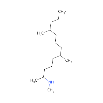 [CH2]CCC(C)CCCC(C)CCCC(C)NC